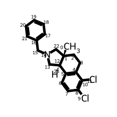 C[C@@]12CCc3c(ccc(Cl)c3Cl)[C@H]1CN(Cc1ccccc1)C2